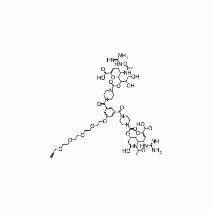 C#CCOCCOCCOCCOCCOc1cc(C(=O)N2CCN(C(=O)O[C@@H]([C@@H]3OC(C(=O)O)=C[C@H](NC(=N)N)[C@H]3NC(C)=O)[C@H](O)CO)CC2)cc(C(=O)N2CCN(C(=O)O[C@H](CCO)[C@@H]3OC(C(=O)O)=C[C@H](NC(=N)N)[C@H]3NC(C)=O)CC2)c1